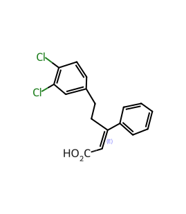 O=C(O)/C=C(\CCc1ccc(Cl)c(Cl)c1)c1ccccc1